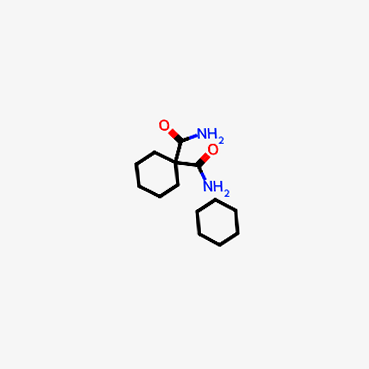 C1CCCCC1.NC(=O)C1(C(N)=O)CCCCC1